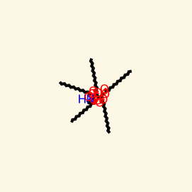 CCCCCCCCCCCCCC(=O)OCC(OC(=O)CCCCCCCCCCCCC)C(OC(=O)CCCCCCCCCCCCC)C(OC(=O)CCCCCCCCCCCCC)C(CNC(C)(C)C)OC(=O)CCCCCCCCCCCCC